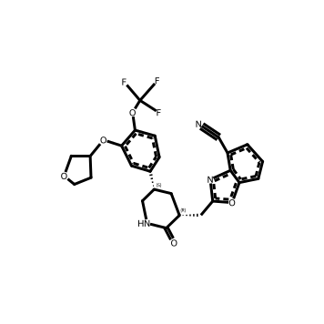 N#Cc1cccc2oc(C[C@H]3C[C@@H](c4ccc(OC(F)(F)F)c(OC5CCOC5)c4)CNC3=O)nc12